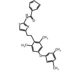 Cc1cc(C)cc(Oc2cc(C)c(CCc3csc(NC(=O)c4ccncc4)n3)c(C)c2)c1